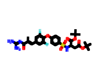 C/C(=C\c1cc(F)c(Oc2ccc(S(=O)(=O)NC(CC(=O)OC(C)(C)C)C(=O)OC(C)(C)C)cc2)c(F)c1)C(=O)N=C(N)N